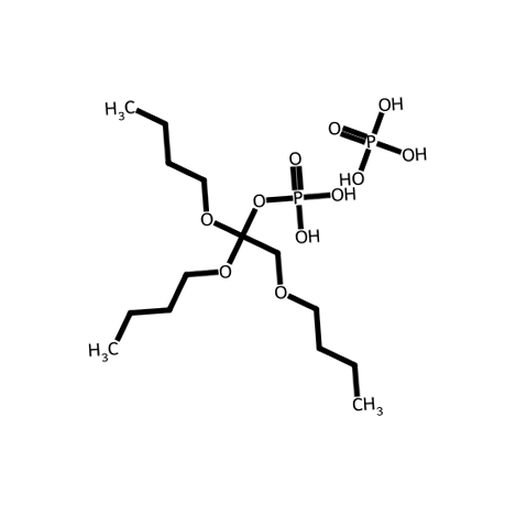 CCCCOCC(OCCCC)(OCCCC)OP(=O)(O)O.O=P(O)(O)O